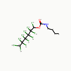 CCCCNC(=O)OC(F)C(F)(F)C(F)(F)C(F)(F)C(F)(F)C(F)F